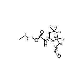 CCCCOC(=O)NC1CC(C)(C)CC(C)(CN=C=O)C1